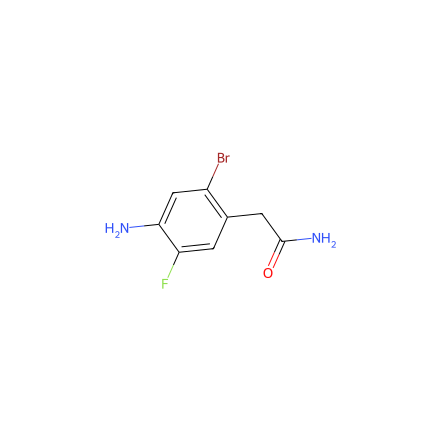 NC(=O)Cc1cc(F)c(N)cc1Br